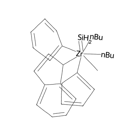 CCC[CH2][Zr]([CH3])(=[SiH2])([CH2]CCC)([C]1=CC=CC1)([c]1ccccc1)[CH]1C=Cc2ccccc21